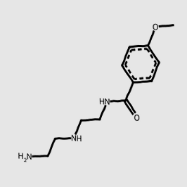 COc1ccc(C(=O)NCCNCCN)cc1